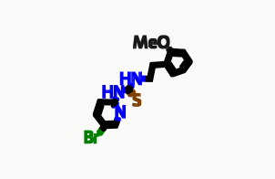 COc1ccccc1CCNC(=S)Nc1ccc(Br)cn1